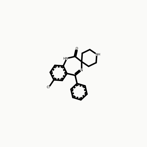 O=C1Nc2ccc(Cl)cc2C(c2ccccc2)=NC12CCNCC2